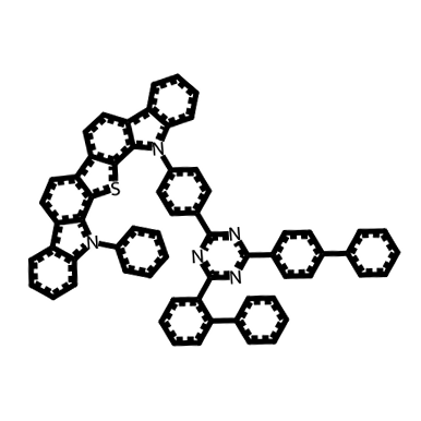 c1ccc(-c2ccc(-c3nc(-c4ccc(-n5c6ccccc6c6ccc7c8ccc9c%10ccccc%10n(-c%10ccccc%10)c9c8sc7c65)cc4)nc(-c4ccccc4-c4ccccc4)n3)cc2)cc1